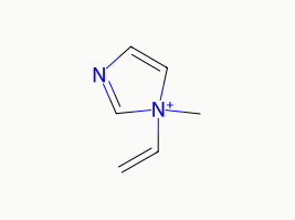 C=C[N+]1(C)C=CN=C1